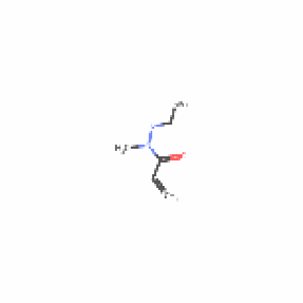 C=CC(=O)N(C)NCCCCC